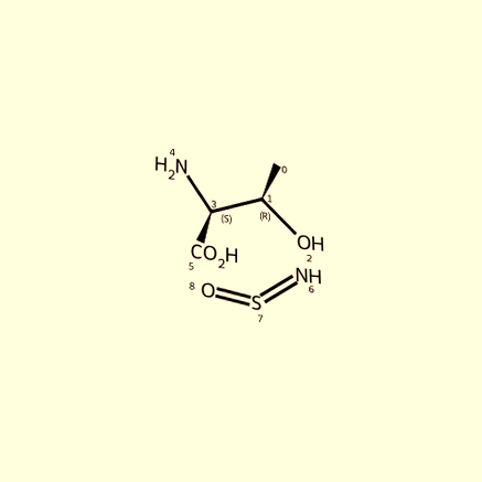 C[C@@H](O)[C@H](N)C(=O)O.N=S=O